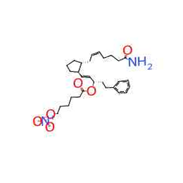 NC(=O)CCC/C=C\C[C@H]1CCC[C@@H]1/C=C/[C@H](CCc1ccccc1)OC(=O)CCCCCO[N+](=O)[O-]